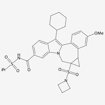 COc1ccc2c(c1)C1CC1(S(=O)(=O)N1CCC1)Cn1c-2c(C2CCCCC2)c2ccc(C(=O)NS(=O)(=O)C(C)C)cc21